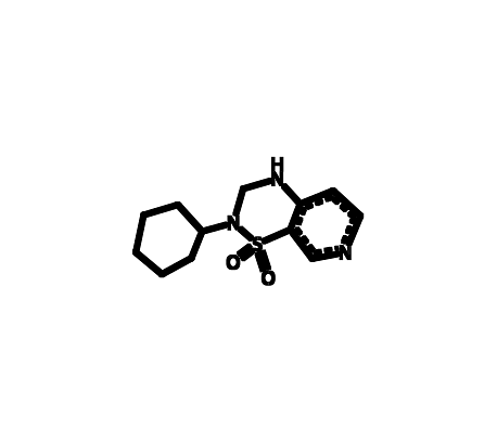 O=S1(=O)c2cnccc2NCN1C1CCCCC1